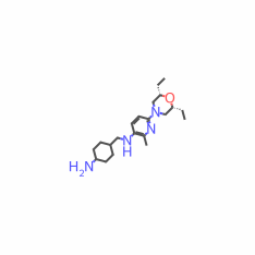 CC[C@@H]1CN(c2ccc(NCC3CCC(N)CC3)c(C)n2)C[C@H](CC)O1